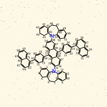 C1=CC2=C(CC1)CCc1ccccc1N2c1ccc2c(-c3ccc(-c4cccc5ccccc45)cc3)c3cc(N4C5=C(C=CCC5)CCc5ccccc54)ccc3c(-c3ccc(-c4cccc5ccccc45)cc3)c2c1